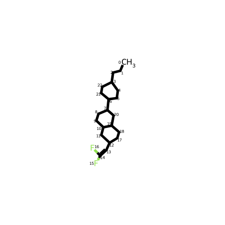 CCCC1CCC(C2CCC3CC(C=C(F)F)CCC3C2)CC1